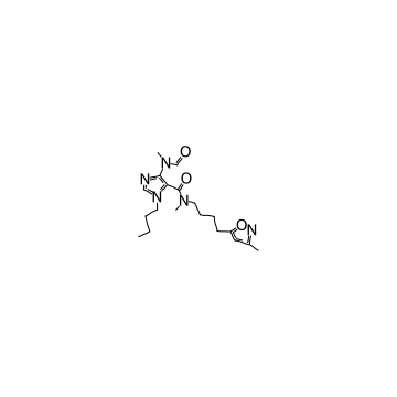 CCCCn1cnc(N(C)C=O)c1C(=O)N(C)CCCCc1cc(C)no1